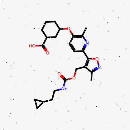 Cc1nc(-c2onc(C)c2COC(=O)NCCC2CC2)ccc1OC1CCCC(C(=O)O)C1